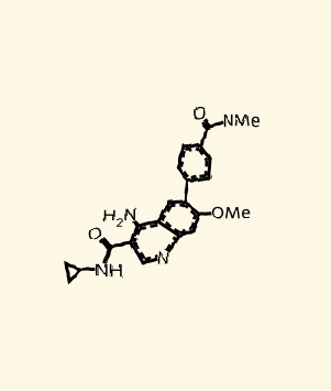 CNC(=O)c1ccc(-c2cc3c(N)c(C(=O)NC4CC4)cnc3cc2OC)cc1